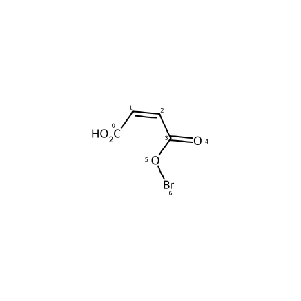 O=C(O)/C=C\C(=O)OBr